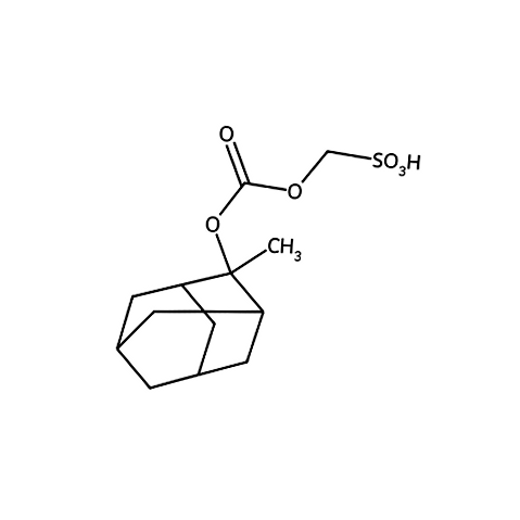 CC1(OC(=O)OCS(=O)(=O)O)C2CC3CC(C2)CC1C3